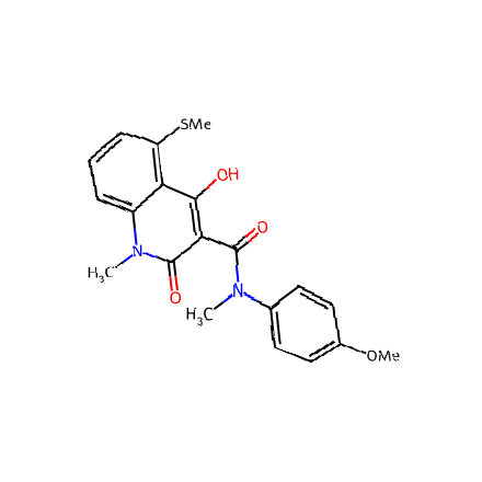 COc1ccc(N(C)C(=O)c2c(O)c3c(SC)cccc3n(C)c2=O)cc1